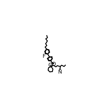 CCCCCCCc1ccc(-c2ccc(C(=O)OC3(CCCC(C#N)CCC)CCCCC3)cc2)c(F)c1